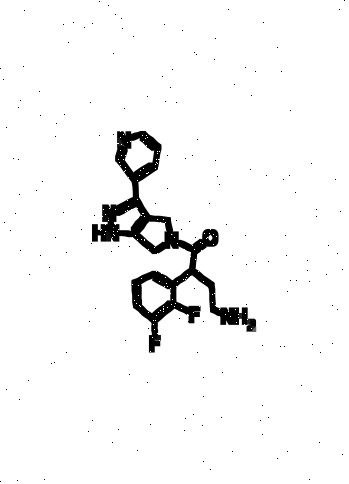 NCCC(C(=O)N1Cc2[nH]nc(-c3cccnc3)c2C1)c1cccc(F)c1F